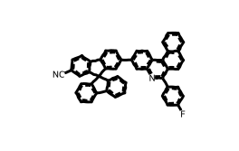 N#Cc1ccc2c(c1)C1(c3ccccc3-c3ccccc31)c1cc(-c3ccc4c(c3)nc(-c3ccc(F)cc3)c3ccc5ccccc5c34)ccc1-2